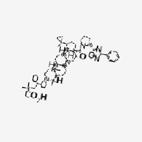 CC(C)(CC(=O)O[C@H]1CC[C@]2(C)[C@H]3CC[C@@H]4[C@H]5C(C6(C)CC6)CC[C@]5(C(=O)N5CCC[C@@H]5c5nc(-c6ccccc6)no5)CC[C@@]4(C)[C@]3(C)CC[C@H]2C1(C)C)C(=O)O